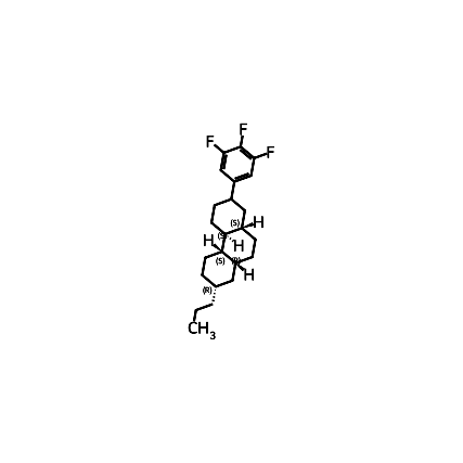 CCC[C@@H]1CC[C@H]2[C@H](CC[C@H]3CC(c4cc(F)c(F)c(F)c4)CC[C@@H]32)C1